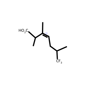 C/C(=C/CC(C)C(F)(F)F)C(C)C(=O)O